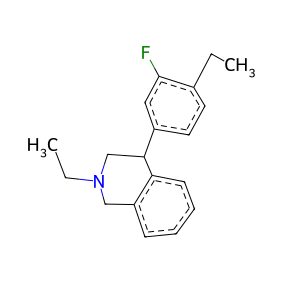 CCc1ccc(C2CN(CC)Cc3ccccc32)cc1F